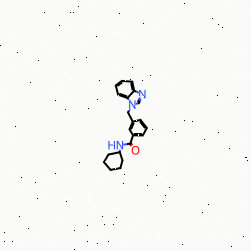 O=C(NC1CCCCC1)c1cccc(Cn2cnc3ccccc32)c1